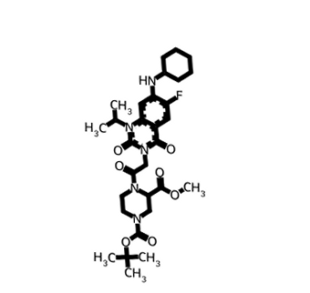 COC(=O)C1CN(C(=O)OC(C)(C)C)CCN1C(=O)Cn1c(=O)c2cc(F)c(NC3CCCCC3)cc2n(C(C)C)c1=O